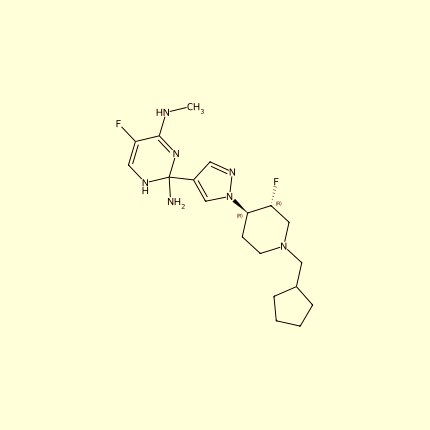 CNC1=NC(N)(c2cnn([C@@H]3CCN(CC4CCCC4)C[C@H]3F)c2)NC=C1F